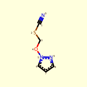 N#CSCOn1cccn1